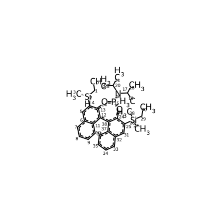 CC[Si@@H](C)c1cc2ccccc2c2c1op(N(C(C)C)C(C)C)oc1c([Si](C)(C)CC)cc3ccccc3c12